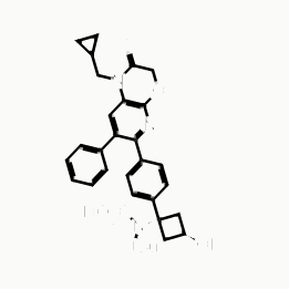 CC(C)(C)N(C(=O)O)[C@]1(c2ccc(-c3nc4c(cc3-c3ccccc3)N(CC3CC3)C(=O)CO4)cc2)C[C@@H](O)C1